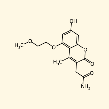 COCCOc1cc(O)cc2oc(=O)c(CC(N)=O)c(C)c12